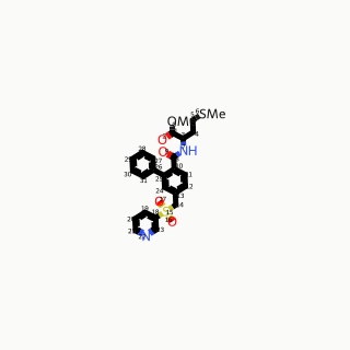 COC(=O)C(CCSC)NC(=O)c1ccc(CS(=O)(=O)c2cccnc2)cc1-c1ccccc1